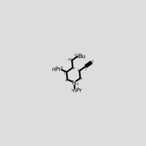 C#CCCN(CCC)CC(CCC)CCC(C)CC